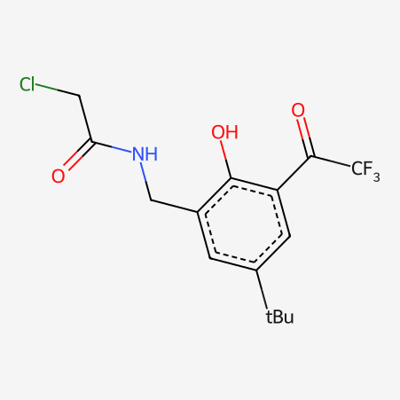 CC(C)(C)c1cc(CNC(=O)CCl)c(O)c(C(=O)C(F)(F)F)c1